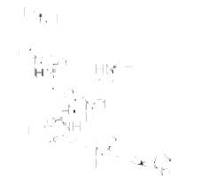 CNCCCCC(NC)C(=O)NCCCCC(NC(=O)C(CCCCNC)NC)C(=O)NC(CCCCNC(=O)CCCSSc1ccccn1)C(C)=O